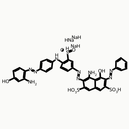 Nc1cc(O)ccc1N=Nc1ccc(Nc2ccc(N=Nc3c(S(=O)(=O)O)cc4cc(S(=O)(=O)O)c(N=Nc5ccccc5)c(O)c4c3N)cc2[SH](=O)=O)cc1.[NaH].[NaH].[NaH]